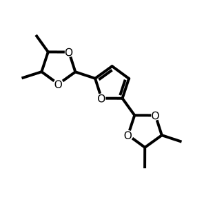 CC1OC(c2ccc(C3OC(C)C(C)O3)o2)OC1C